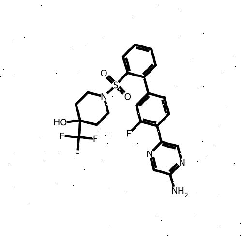 Nc1cnc(-c2ccc(-c3ccccc3S(=O)(=O)N3CCC(O)(C(F)(F)F)CC3)cc2F)cn1